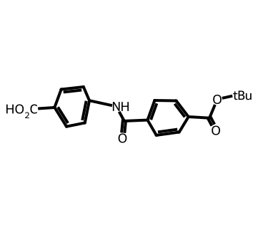 CC(C)(C)OC(=O)c1ccc(C(=O)Nc2ccc(C(=O)O)cc2)cc1